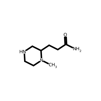 CN1CCNCC1CCC(N)=O